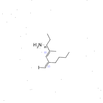 CCCCC(=C/I)/C=C(\C)[C@H](N)CC